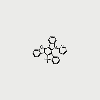 CC1(C)c2ccccc2-c2c1c1c3ccccc3oc1c1c3ccccc3n(-c3ccccn3)c21